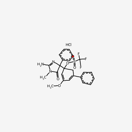 COC1=CC(OS(=O)(=O)C(F)(F)F)(C2(c3ccccc3)N=C(N)N(C)C2=O)CC(c2ccccc2)=C1.Cl